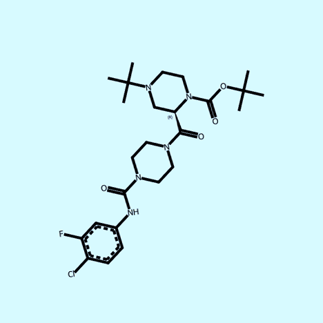 CC(C)(C)OC(=O)N1CCN(C(C)(C)C)C[C@@H]1C(=O)N1CCN(C(=O)Nc2ccc(Cl)c(F)c2)CC1